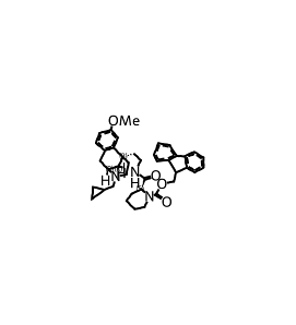 COc1ccc2c(c1)[C@@]1(CCNC(=O)[C@@H]3CCCCN3C(=O)OCC3c4ccccc4-c4ccccc43)CCN(CC3CC3)[C@H](C2)[C@@H]1I